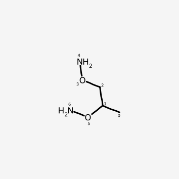 CC(CON)ON